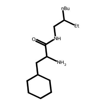 CCCCC(CC)CNC(=O)C(N)CC1CCCCC1